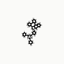 c1ccc(-c2nc(-c3ccccc3)nc(-c3cccc(N4CC5c6ccccc6-c6ccccc6-c6c5c4cc4ccccc64)c3)n2)cc1